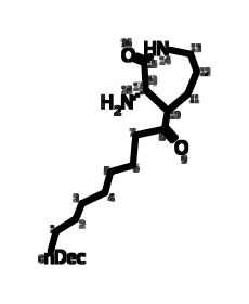 CCCCCCCCCCCCCCCCCC(=O)C1CCCNC(=O)[C@H]1N